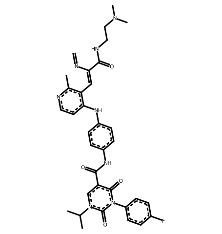 C=N/C(=C\c1c(Nc2ccc(NC(=O)c3cn(C(C)C)c(=O)n(-c4ccc(F)cc4)c3=O)cc2)ccnc1C)C(=O)NCCN(C)C